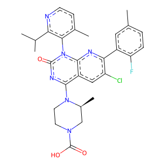 Cc1ccc(F)c(-c2nc3c(cc2Cl)c(N2CCN(C(=O)O)C[C@@H]2C)nc(=O)n3-c2c(C)ccnc2C(C)C)c1